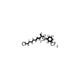 C=C(CCCCCCCCl)C[SiH2]c1cccc(C(F)(F)F)c1